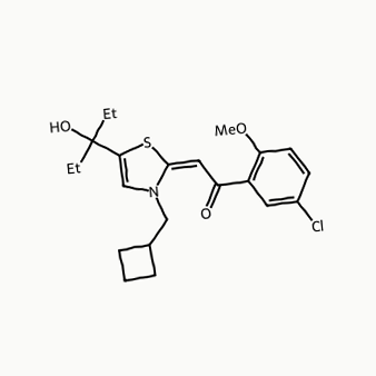 CCC(O)(CC)C1=CN(CC2CCC2)C(=CC(=O)c2cc(Cl)ccc2OC)S1